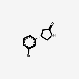 O=C1C[C@@H](c2cccc(Br)c2)CN1